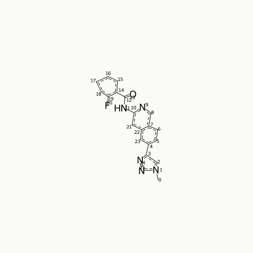 Cn1cc(-c2ccc3cnc(NC(=O)c4ccccc4F)cc3c2)nn1